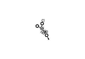 C#Cc1ccc(S(=O)(=O)N=C(SC)N2CC(c3ccccc3)C(c3ccc(Cl)cc3)=N2)cc1